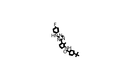 Cc1c(NC(=O)c2ccc(C(C)(C)C)cc2)cccc1-c1ncnc(Nc2ccc(F)cc2)n1